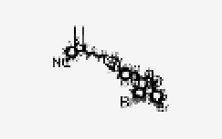 N#Cc1ccc2[nH]cc(CCCCN3CCN(c4ccc5oc(C(=O)N(C(=O)c6ccc(Br)cc6)c6ccc(Br)cc6)cc5c4)CC3)c2c1